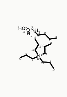 CCCCN.CCC[N+](CCC)(CCC)CCC.O.[OH-]